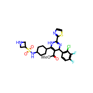 COC(=O)C1=C(C2CCC(NS(=O)(=O)C3CNC3)CC2)NC(c2nccs2)=NC1c1ccc(F)c(F)c1Cl